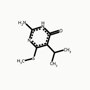 CSc1nc(N)[nH]c(=O)c1C(C)C